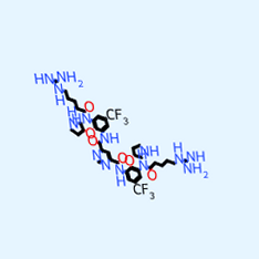 N=C(N)NCCCCC(=O)Nc1cc(C(F)(F)F)cc(NC(=O)c2cc(C(=O)Nc3cc(C(F)(F)F)cc(NC(=O)CCCCNC(=N)N)c3OC3CCNC3)ncn2)c1OC1CCNC1